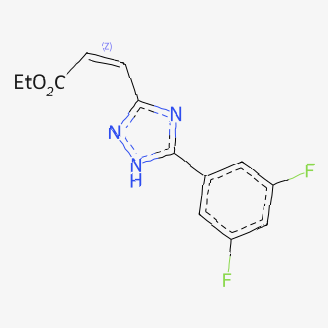 CCOC(=O)/C=C\c1n[nH]c(-c2cc(F)cc(F)c2)n1